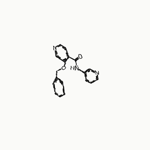 O=C(Nc1cccnc1)c1ccncc1OCc1ccccc1